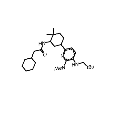 CNc1nc(C2CCC(C)(C)C(NC(=O)CC3CCCCC3)C2)ccc1NCC(C)(C)C